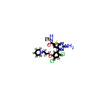 CCNC(=O)c1cc2c(-c3cc(OCCCN4CCCCC4)c(Cl)cc3Cl)nc(N)nc2s1